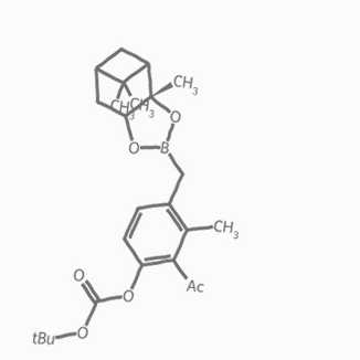 CC(=O)c1c(OC(=O)OC(C)(C)C)ccc(CB2OC3CC4CC(C4(C)C)[C@]3(C)O2)c1C